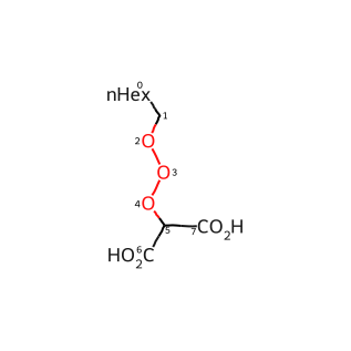 CCCCCCCOOOC(C(=O)O)C(=O)O